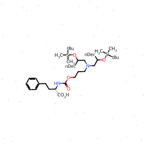 CCCCCCCCCCC(CN(CCCOC(=O)N[C@@H](CCc1ccccc1)C(=O)O)CC(CCCCCCCCCC)O[Si](C)(C)C(C)(C)C)O[Si](C)(C)C(C)(C)C